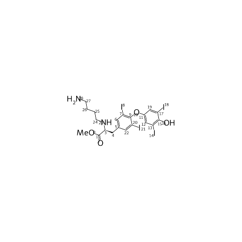 COC(=O)[C@H](Cc1cc(I)c(Oc2cc(I)c(O)c(I)c2)c(I)c1)NCCCCN